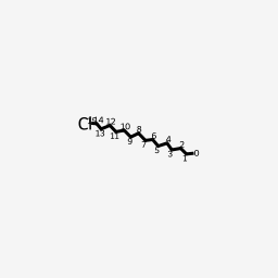 CCCCCCCCCCCCCCCCl